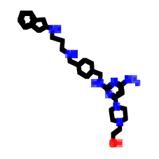 Nc1cc(N2CCN(CCO)CC2)nc(NCC2CCC(CNCCCNC3Cc4ccccc4C3)CC2)n1